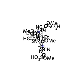 CCN(CC)c1cc(Nc2nc(Nc3cc(N(CC)CC)c(OC)cc3/N=N/c3snc(-c4ccc(OC)c(S(=O)(=O)O)c4)c3C#N)nc(SCCO)n2)c(/N=N/c2snc(-c3ccc(OC)c(S(=O)(=O)O)c3)c2C#N)cc1OC